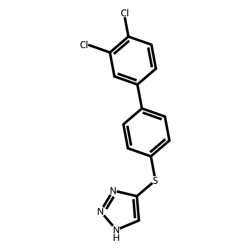 Clc1ccc(-c2ccc(Sc3c[nH]nn3)cc2)cc1Cl